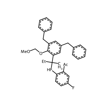 CCC(C)(Pc1ccc(F)cc1C(C)=O)c1cc(Cc2ccccc2)cc(Cc2ccccc2)c1OCOC